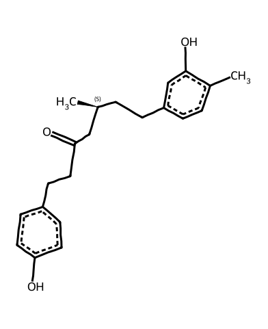 Cc1ccc(CC[C@H](C)CC(=O)CCc2ccc(O)cc2)cc1O